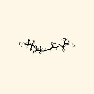 C=C(C)C(=O)OCC(O)COCC(F)(F)C(F)OC(F)(F)C(F)(F)C(F)(F)F